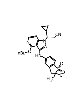 CCCCOc1nccc2c1c(Nc1ccc3c(c1)CC(C)(C)S3(=O)=O)nn2[C@@H](CC#N)C1CC1